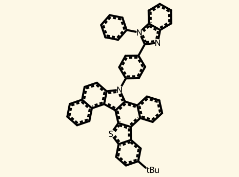 CC(C)(C)c1ccc2sc3c(c2c1)c1ccccc1c1c3c2c3ccccc3ccc2n1-c1ccc(-c2nc3ccccc3n2-c2ccccc2)cc1